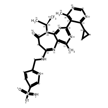 CCS(=N)(=O)c1ccc(CNC2=Nc3c(C)nc(-c4c(C)ncnc4C4CC4)nc3N([C@@H](C)C(F)(F)F)C(=O)C2)nc1